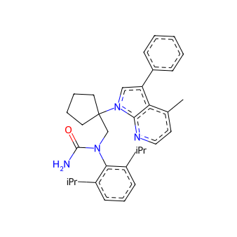 Cc1ccnc2c1c(-c1ccccc1)cn2C1(CN(C(N)=O)c2c(C(C)C)cccc2C(C)C)CCCC1